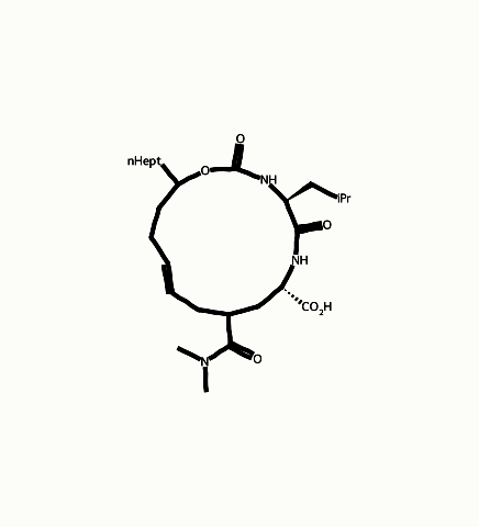 CCCCCCCC1CC/C=C/CC(C(=O)N(C)C)C[C@@H](C(=O)O)NC(=O)[C@H](CC(C)C)NC(=O)O1